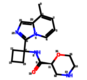 Cc1cccn2c(C3(NC(=O)[C@@H]4CNCCO4)CCC3)ncc12